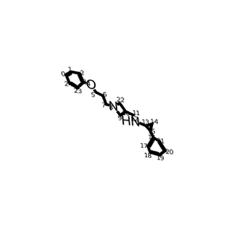 c1ccc(OCCCN2CC(CNC3CC3c3ccccc3)C2)cc1